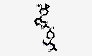 C=C(Cl)/C=C(\C=C/C)N1CCC(Nc2nc3c(N4CCC5(CC5)[C@H](O)C4)cccn3n2)CC1